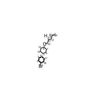 Brc1ccc([C@H]2CC[C@H](OCCC[SiH2]I)CC2)cc1